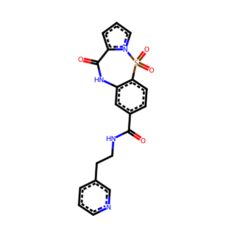 O=C(NCCc1cccnc1)c1ccc2c(c1)NC(=O)c1cccn1S2(=O)=O